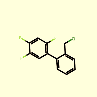 Fc1cc(F)c(-c2ccccc2CCl)cc1F